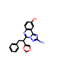 Nc1nc2c3cc(O)ccc3nc(C(Cc3ccccc3)C3=COCO3)n2n1